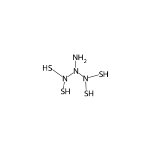 NN(N(S)S)N(S)S